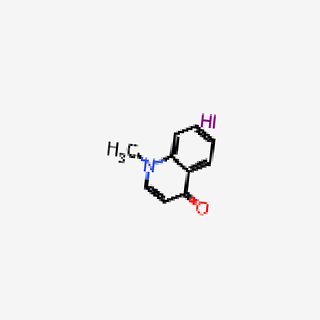 Cn1ccc(=O)c2ccccc21.I